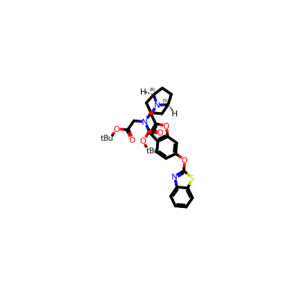 CC(C)(C)OC(=O)CN(C(=O)OC(C)(C)C)C1C[C@H]2CC[C@@H](C1)N2Cc1cc2ccc(Oc3nc4ccccc4s3)cc2o1